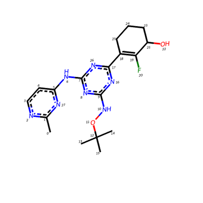 Cc1nccc(Nc2nc(NOC(C)(C)C)nc(C3=C(F)C(O)CCC3)n2)n1